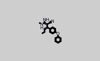 CC/C=C(/C(C#N)=C(/N)NC)c1ccc(Oc2ccccc2)cc1